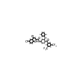 O=C(NC1CCN(C(=O)c2cc(C(F)(F)F)cc(C(F)(F)F)c2)C(Cc2ccccc2)C1)c1cc(=O)c2cc(Cl)ccc2o1